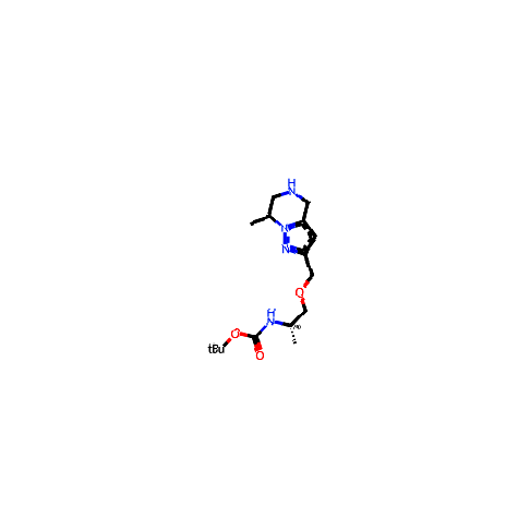 CC1CNCc2cc(COC[C@H](C)NC(=O)OC(C)(C)C)nn21